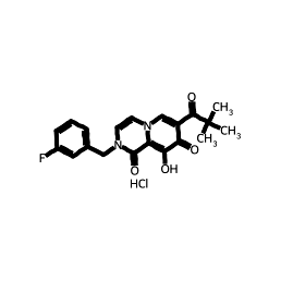 CC(C)(C)C(=O)c1cn2ccn(Cc3cccc(F)c3)c(=O)c2c(O)c1=O.Cl